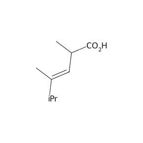 CC(=CC(C)C(=O)O)C(C)C